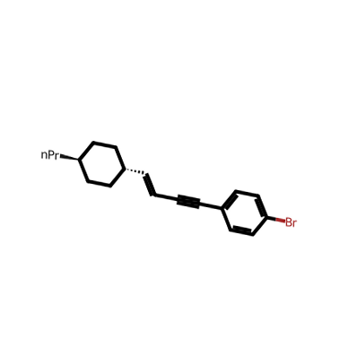 CCC[C@H]1CC[C@H](/C=C/C#Cc2ccc(Br)cc2)CC1